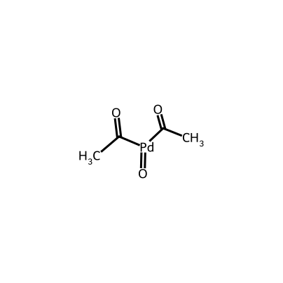 C[C](=O)[Pd](=[O])[C](C)=O